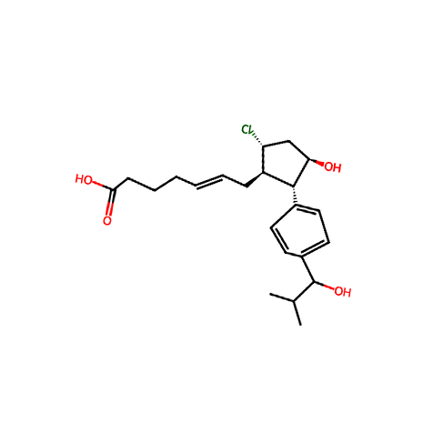 CC(C)C(O)c1ccc([C@@H]2[C@@H](CC=CCCCC(=O)O)[C@H](Cl)C[C@H]2O)cc1